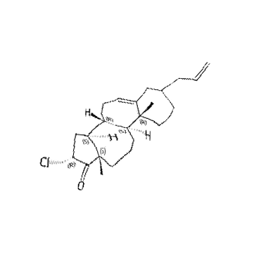 C=CCC1CC[C@@]2(C)C(=CC[C@@H]3[C@@H]2CC[C@]2(C)C(=O)[C@H](Cl)C[C@@H]32)C1